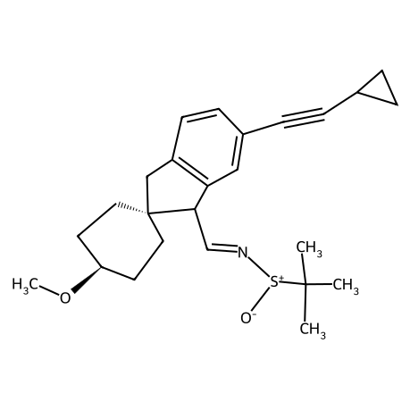 CO[C@H]1CC[C@]2(CC1)Cc1ccc(C#CC3CC3)cc1C2/C=N/[S+]([O-])C(C)(C)C